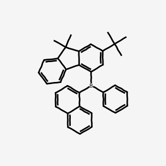 CC(C)(C)c1cc(B(c2ccccc2)c2cccc3ccccc23)c2c(c1)C(C)(C)c1ccccc1-2